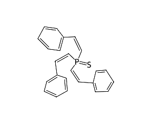 S=P(/C=C\c1ccccc1)(/C=C\c1ccccc1)/C=C\c1ccccc1